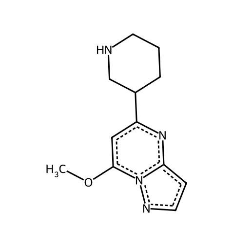 COc1cc(C2CCCNC2)nc2ccnn12